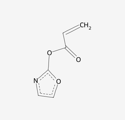 C=CC(=O)Oc1ncco1